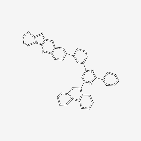 c1ccc(-c2nc(-c3cccc(-c4ccc5nc6c(cc5c4)sc4ccccc46)c3)cc(-c3cc4ccccc4c4ccccc34)n2)cc1